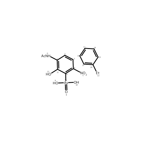 CC(=O)Nc1ccc([N+](=O)[O-])c([As](=O)(O)O)c1O.CCc1ccccc1